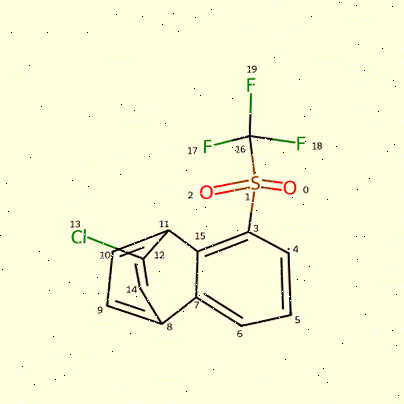 O=S(=O)(c1[c]ccc2c3ccc(c(Cl)c3)c12)C(F)(F)F